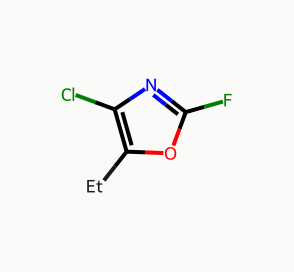 CCc1oc(F)nc1Cl